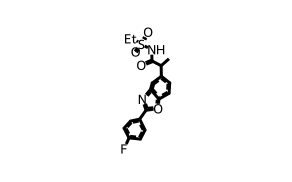 CCS(=O)(=O)NC(=O)C(C)c1ccc2oc(-c3ccc(F)cc3)nc2c1